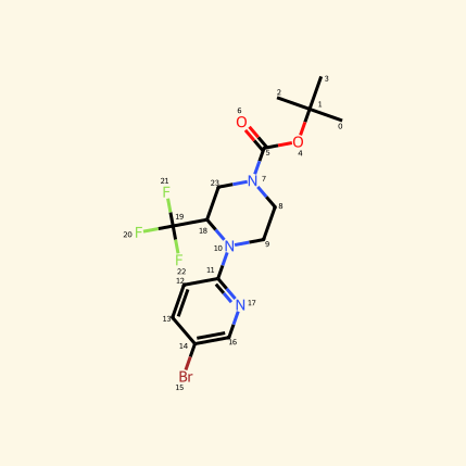 CC(C)(C)OC(=O)N1CCN(c2ccc(Br)cn2)C(C(F)(F)F)C1